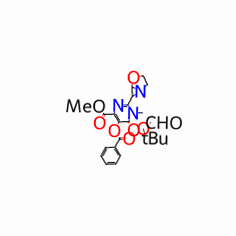 CC(C)(C)OC=O.COC(=O)c1nc(C2C3OCCN32)n(C)c(=O)c1OC(=O)c1ccccc1